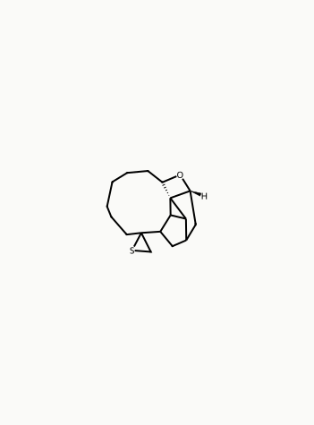 C1CCCC2(CS2)C2CC3C[C@H]4OC(CC1)[C@@]41C3C21